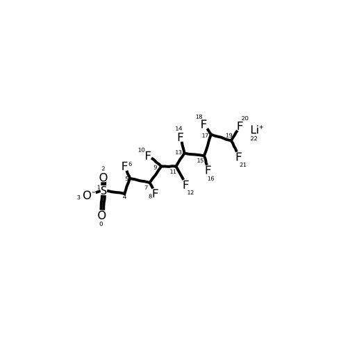 O=S(=O)([O-])CC(F)C(F)C(F)C(F)C(F)C(F)C(F)C(F)F.[Li+]